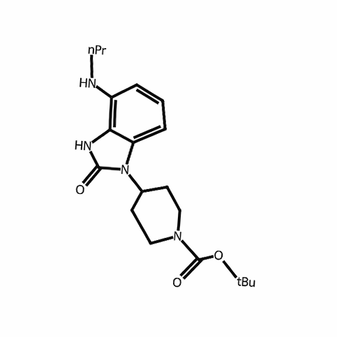 CCCNc1cccc2c1[nH]c(=O)n2C1CCN(C(=O)OC(C)(C)C)CC1